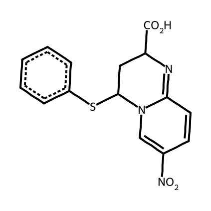 O=C(O)C1CC(Sc2ccccc2)N2C=C([N+](=O)[O-])C=CC2=N1